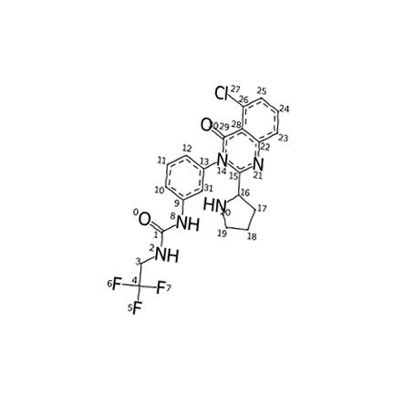 O=C(NCC(F)(F)F)Nc1cccc(-n2c(C3CCCN3)nc3cccc(Cl)c3c2=O)c1